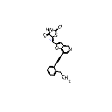 CCc1ccccc1C#Cc1cncc2cc(/C=C3\SC(=O)NC3=O)oc12